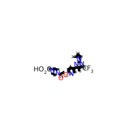 Cc1c(-c2ccc(OCC(=O)N3CCN(C(=O)O)CC3)nc2)nc(N2CC[C@@H]2C)nc1C(F)(F)F